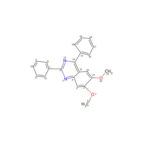 COc1cc2nc(-c3ccccc3)nc(-c3ccccc3)c2cc1OC